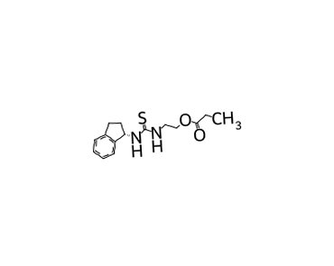 CCC(=O)OCCNC(=S)N[C@H]1CCc2ccccc21